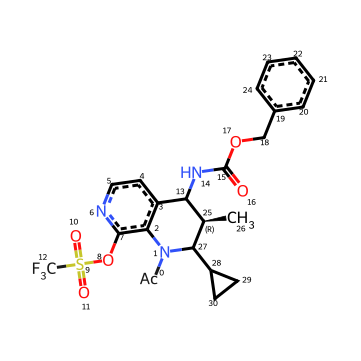 CC(=O)N1c2c(ccnc2OS(=O)(=O)C(F)(F)F)C(NC(=O)OCc2ccccc2)[C@@H](C)C1C1CC1